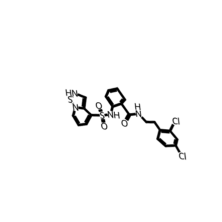 O=C(NCCc1ccc(Cl)cc1Cl)c1ccccc1NS(=O)(=O)C1=CC=CN2SNC=C12